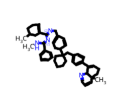 CN/C(=N\C(=N/CC1=CCC(C2(Cc3ccc(C4=CCCC5(C)C=CC=NC45)cc3)CCCCC2)C=C1)C1=CCCC(C)C1)c1ccccc1